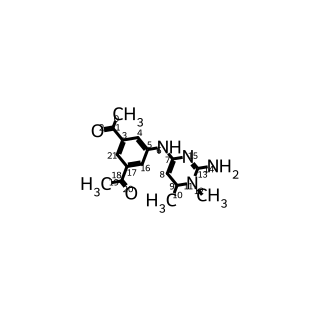 CC(=O)c1cc(NC2=CC(C)N(C)C(N)=N2)cc(C(C)=O)c1